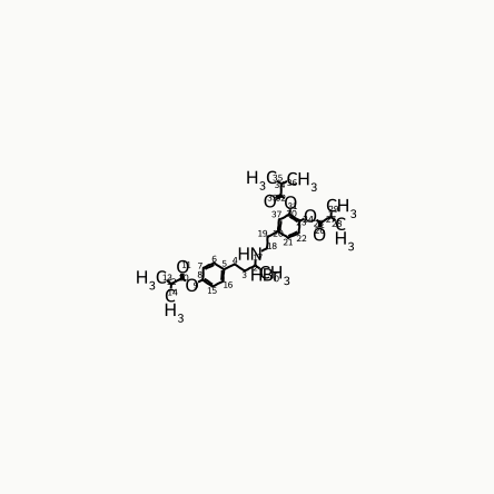 Br.CC(CCc1ccc(OC(=O)C(C)C)cc1)NCCc1ccc(OC(=O)C(C)C)c(OC(=O)C(C)C)c1